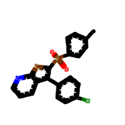 Cc1ccc(S(=O)(=O)c2sc3ncccc3c2-c2ccc(Cl)cc2)cc1